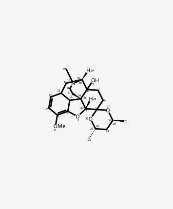 COC1=C2O[C@H]3C4(CCC5(O)[C@H]6CC(C=C1)C2[C@@]35CCN6C)O[C@@H](C)C[C@H](C)O4